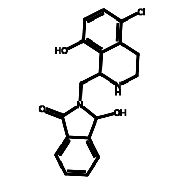 O=C1c2ccccc2C(O)N1CC1NCCc2c(Cl)ccc(O)c21